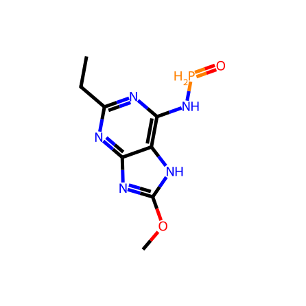 CCc1nc(N[PH2]=O)c2[nH]c(OC)nc2n1